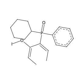 C/C=C(OI)\C(=C/C)P(=O)(c1ccccc1)C1CCCCC1